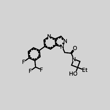 CCC1(O)CN(C(=O)Cn2ncc3ncc(-c4ccc(F)c(C(F)F)c4)cc32)C1